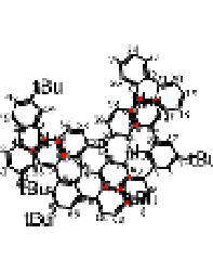 CC(C)(C)c1cc(-c2ccccc2)c(N2c3cc(-n4c5ccccc5c5ccccc54)ccc3B3c4ccc(-n5c6cc(C(C)(C)C)ccc6c6ccc(C(C)(C)C)cc65)cc4N(c4c(-c5ccccc5)cc(C(C)(C)C)cc4-c4ccccc4)c4cc(C(C)(C)C)cc2c43)c(-c2ccccc2)c1